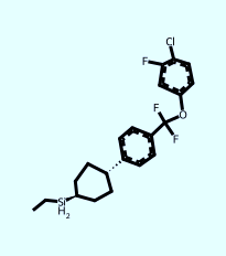 CC[SiH2][C@H]1CC[C@H](c2ccc(C(F)(F)Oc3ccc(Cl)c(F)c3)cc2)CC1